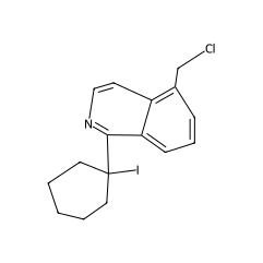 ClCc1cccc2c(C3(I)CCCCC3)nccc12